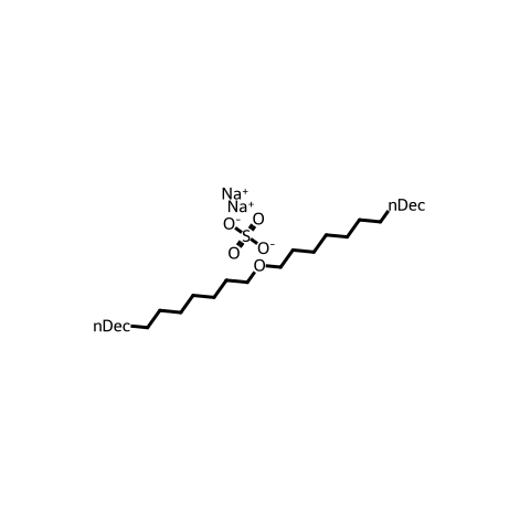 CCCCCCCCCCCCCCCCCOCCCCCCCCCCCCCCCCC.O=S(=O)([O-])[O-].[Na+].[Na+]